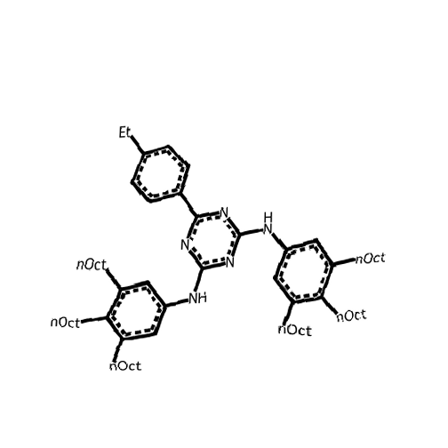 [CH2]Cc1ccc(-c2nc(Nc3cc(CCCCCCCC)c(CCCCCCCC)c(CCCCCCCC)c3)nc(Nc3cc(CCCCCCCC)c(CCCCCCCC)c(CCCCCCCC)c3)n2)cc1